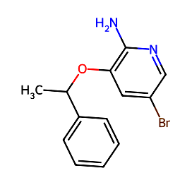 CC(Oc1cc(Br)cnc1N)c1ccccc1